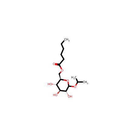 CCCCCC(=O)OC[C@H]1OC(OC(C)C)[C@H](O)[C@@H](O)[C@@H]1O